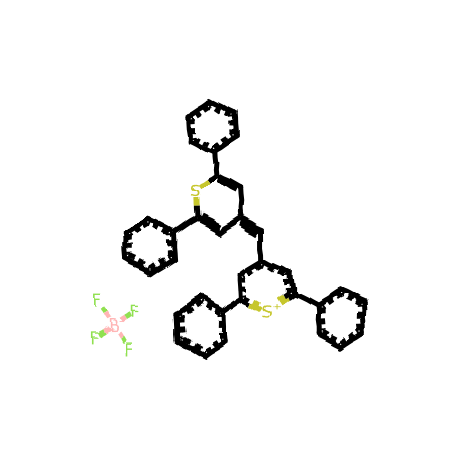 C(=C1C=C(c2ccccc2)SC(c2ccccc2)=C1)c1cc(-c2ccccc2)[s+]c(-c2ccccc2)c1.F[B-](F)(F)F